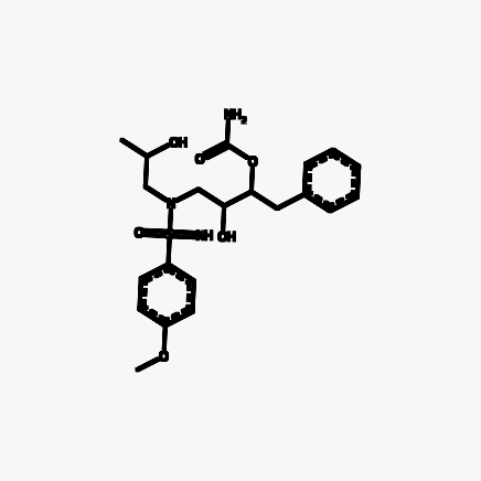 COc1ccc(S(=N)(=O)N(CC(C)O)CC(O)C(Cc2ccccc2)OC(N)=O)cc1